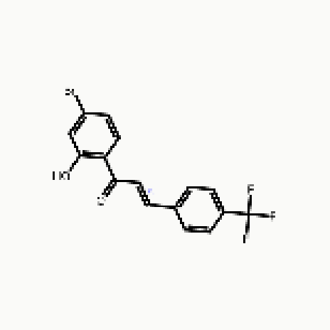 O=C(/C=C/c1ccc(C(F)(F)F)cc1)c1ccc(Br)cc1O